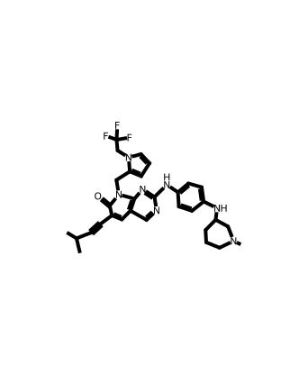 CC(C)C#Cc1cc2cnc(Nc3ccc(NC4CCCN(C)C4)cc3)nc2n(Cc2cccn2CC(F)(F)F)c1=O